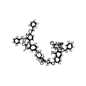 Cn1c(=O)n(-c2ccc(OCc3ccccc3)nc2OCc2ccccc2)c2ccc(N3CCC(O)(CC(=O)N4CC(Oc5ccc6cc(OCc7ccccc7)c(N7CC(=O)NS7(=O)=O)c(F)c6c5)C4)CC3)cc21